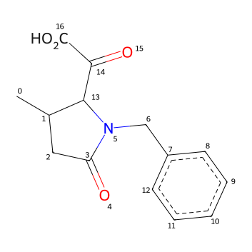 CC1CC(=O)N(Cc2ccccc2)C1C(=O)C(=O)O